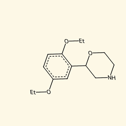 CCOc1ccc(OCC)c(C2CNCCO2)c1